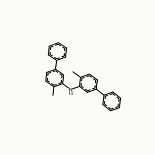 Cc1ccc(-c2ccccc2)cc1Nc1cc(-c2ccccc2)ccc1C